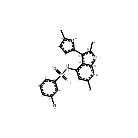 Cc1cc(NS(=O)(=O)c2cccc(Cl)c2)c2c(-c3ccc(C)s3)c(C)sc2n1